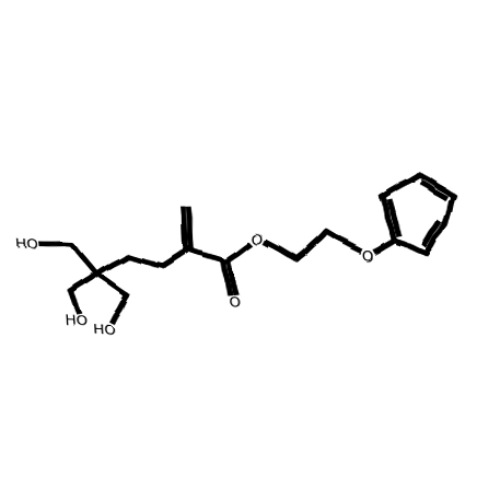 C=C(CCC(CO)(CO)CO)C(=O)OCCOc1ccccc1